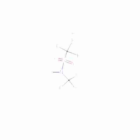 O=S(=O)(N(I)C(F)(F)F)C(F)(F)F.[LiH]